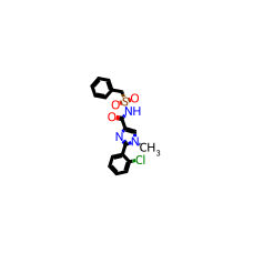 Cn1cc(C(=O)NS(=O)(=O)Cc2ccccc2)nc1-c1ccccc1Cl